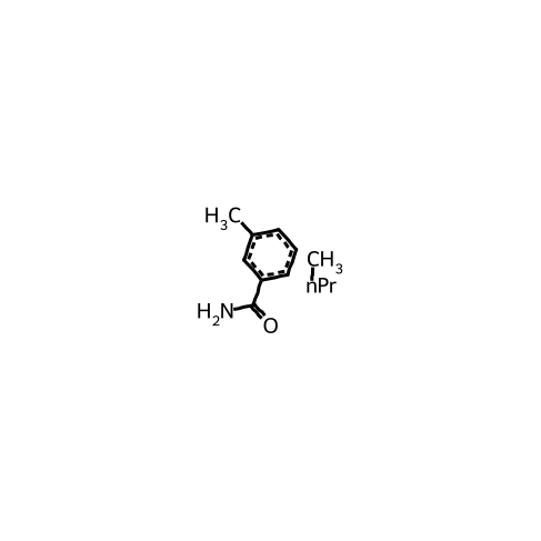 CCCC.Cc1cccc(C(N)=O)c1